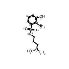 CN(C)CCCNS(=O)(=O)c1cccc(O)c1N